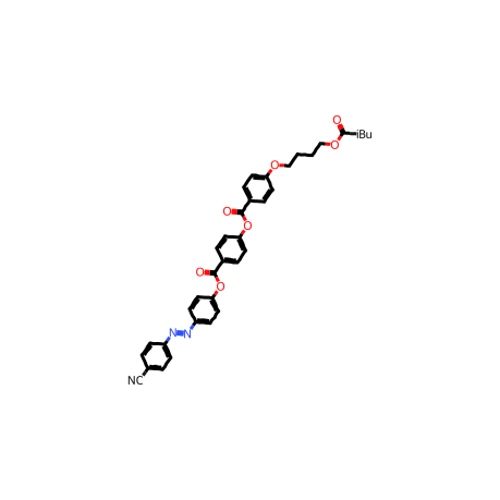 CCC(C)C(=O)OCCCCOc1ccc(C(=O)Oc2ccc(C(=O)Oc3ccc(N=Nc4ccc(C#N)cc4)cc3)cc2)cc1